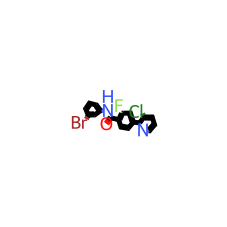 O=C(Nc1cccc(Br)c1)c1ccc(-c2ncccc2Cl)cc1F